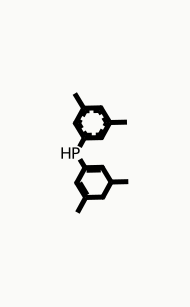 CC1=CC(Pc2cc(C)cc(C)c2)=CC(C)C1